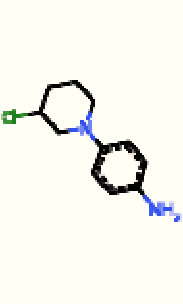 Nc1ccc(N2CCCC(Cl)C2)cc1